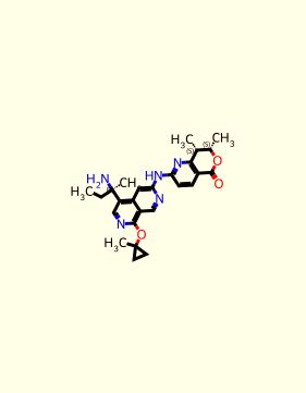 CC[C@@](C)(N)c1cnc(OC2(C)CC2)c2cnc(Nc3ccc4c(n3)[C@H](C)[C@H](C)OC4=O)cc12